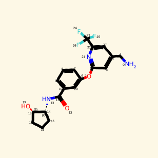 NCc1cc(Oc2cccc(C(=O)N[C@@H]3CCC[C@@H]3O)c2)nc(C(F)(F)F)c1